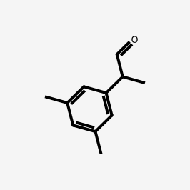 Cc1cc(C)cc(C(C)C=O)c1